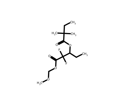 CCC(OC(=O)C(C)(C)CC)C(F)(F)C(=O)OCOC